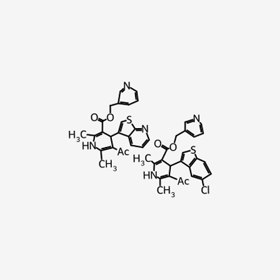 CC(=O)C1=C(C)NC(C)=C(C(=O)OCc2cccnc2)C1c1csc2ccc(Cl)cc12.CC(=O)C1=C(C)NC(C)=C(C(=O)OCc2cccnc2)C1c1csc2ncccc12